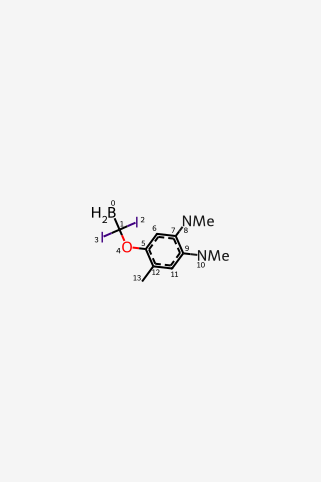 BC(I)(I)Oc1cc(NC)c(NC)cc1C